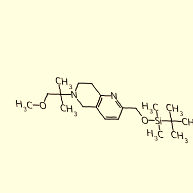 COCC(C)(C)N1CCc2nc(CO[Si](C)(C)C(C)(C)C)ccc2C1